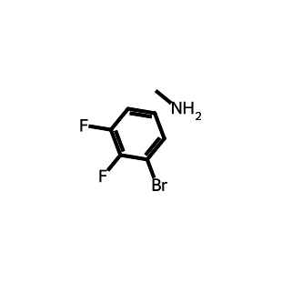 CN.Fc1cccc(Br)c1F